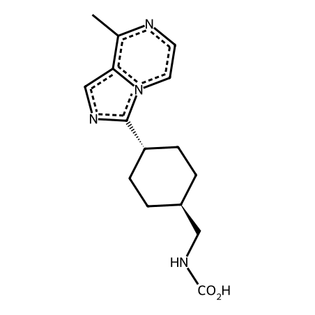 Cc1nccn2c1cnc2[C@H]1CC[C@H](CNC(=O)O)CC1